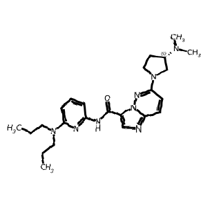 CCCN(CCC)c1cccc(NC(=O)c2cnc3ccc(N4CC[C@H](N(C)C)C4)nn23)n1